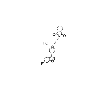 Cl.O=C1C2CCCCC2C(=O)N1CCCCN1CCC(c2noc3cc(F)ccc23)CC1